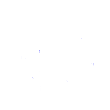 Nc1cncc(-c2cc3c(-c4nc5c(-c6ccsc6)cccc5[nH]4)n[nH]c3cn2)c1